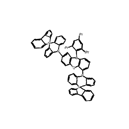 CC(C)c1cc(C(C)C)c(B2c3cc(N4c5ccccc5[Si]5(c6ccccc6-c6ccccc65)c5ccccc54)ccc3Oc3c2cccc3N2c3ccccc3[Si]3(c4ccccc4-c4ccccc43)c3ccccc32)c(C(C)C)c1